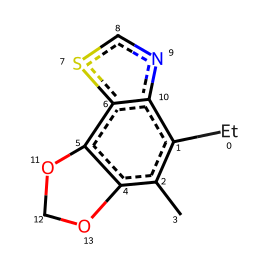 CCc1c(C)c2c(c3scnc13)OCO2